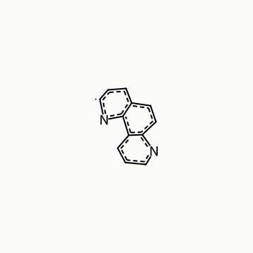 [c]1ccc2ccc3ncccc3c2n1